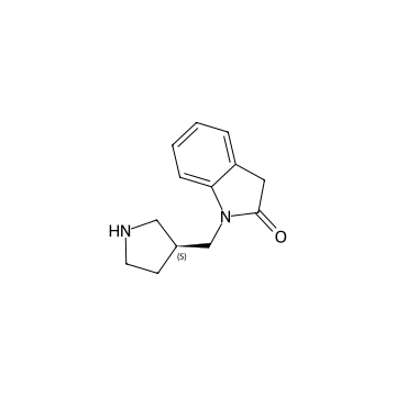 O=C1Cc2ccccc2N1C[C@H]1CCNC1